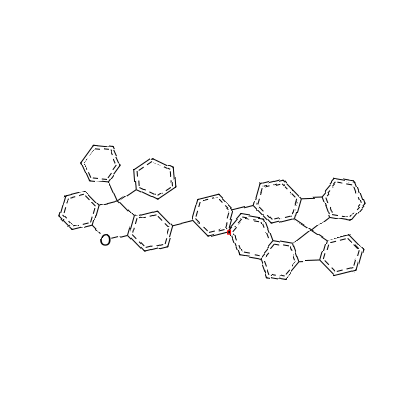 c1ccc(C2(c3ccccc3)c3ccccc3Oc3ccc(-c4ccc(-c5ccc6c(c5)C5(c7ccccc7-6)c6ccccc6-c6ccc7ccccc7c65)cc4)cc32)cc1